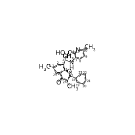 Cc1cc(C(C)Nc2ccc(C)nc2C(=O)O)c2oc(-c3ccccc3)c(C)c(=O)c2c1